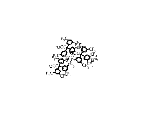 O=C([O-])C(c1cc(C(F)(F)F)cc(C(F)(F)F)c1)(c1cc(C(F)(F)F)cc(C(F)(F)F)c1)c1cc(C(F)(F)F)cc(C(F)(F)F)c1.O=C([O-])C(c1cc(C(F)(F)F)cc(C(F)(F)F)c1)(c1cc(C(F)(F)F)cc(C(F)(F)F)c1)c1cc(C(F)(F)F)cc(C(F)(F)F)c1.O=C([O-])C(c1cc(C(F)(F)F)cc(C(F)(F)F)c1)(c1cc(C(F)(F)F)cc(C(F)(F)F)c1)c1cc(C(F)(F)F)cc(C(F)(F)F)c1.[Bi+3]